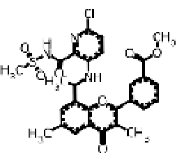 COC(=O)c1cccc(-c2oc3c(C(C)Nc4ccc(Cl)nc4C(=O)NS(C)(=O)=O)cc(C)cc3c(=O)c2C)c1